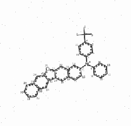 CC(C)(C)c1ccc(N(c2ccccc2)c2ccc3cc4c(cc3c2)oc2cc3ccccc3cc24)cc1